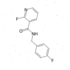 O=C(NCc1ccc(F)cc1)c1cccnc1F